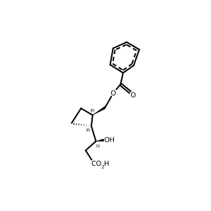 O=C(O)C[C@H](O)[C@@H]1CC[C@H]1COC(=O)c1ccccc1